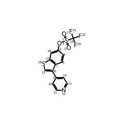 O=S(=O)(Oc1ccc2c(-c3ccncc3)csc2c1)C(F)(F)F